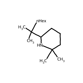 CCCCCCC(C)(C)C1CCCC(C)(C)N1